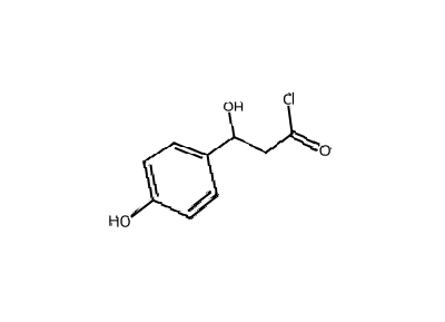 O=C(Cl)CC(O)c1ccc(O)cc1